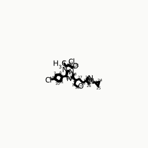 Cc1nc2c(-c3ccc(Cl)cc3)nc(C3CCOC(c4cnn(C5CC5)c4)C3)cn2c(=O)c1Cl